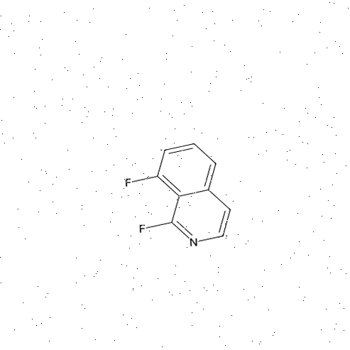 Fc1[c]ccc2c[c]nc(F)c12